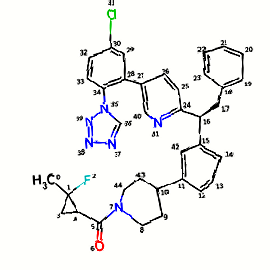 CC1(F)CC1C(=O)N1CCC(c2cccc([C@H](Cc3ccccc3)c3ccc(-c4cc(Cl)ccc4-n4cnnn4)cn3)c2)CC1